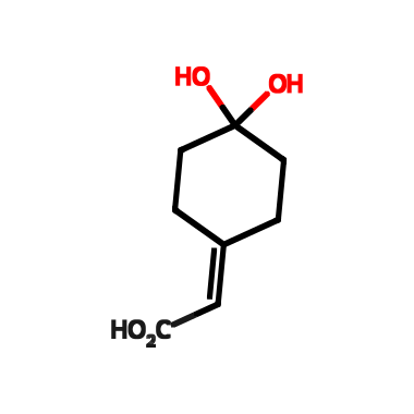 O=C(O)C=C1CCC(O)(O)CC1